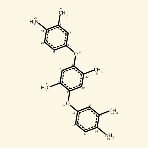 Cc1cc(Oc2cc(C)c(Oc3ccc(N)c(C)c3)cc2C)ccc1N